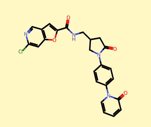 O=C(NCC1CC(=O)N(c2ccc(-n3ccccc3=O)cc2)C1)c1cc2cnc(Cl)cc2o1